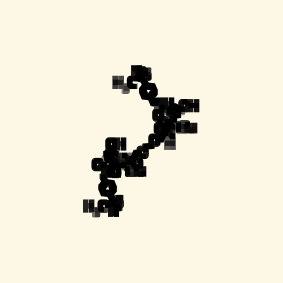 Cc1ncsc1-c1ccc(CNC(=O)[C@@H]2C[C@@H](O)CN2C(=O)[C@@H](NC(=O)COCCOCC(=O)N[C@H](C(=O)N2C[C@@H](O)C[C@H]2C(=O)NCc2ccc(-c3scnc3C)cc2)C(C)(C)C)C(C)(C)C)cc1